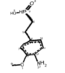 COc1cc(CC[PH](=O)O)ccc1N